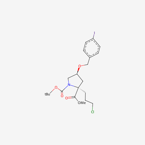 COC(=O)[C@]1(CCCCl)C[C@H](OCc2ccc(I)cc2)CN1C(=O)OC(C)(C)C